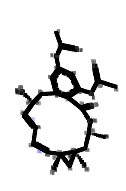 CC(=O)Oc1cc2c(c(OC(C)=O)c1)C(=O)O[C@H](C)C[C@H]1C[C@@H]1/C=C\C=C\[C@H](O)C2